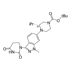 CC(C)[C@@H]1CN(C(=O)OC(C)(C)C)CCN1c1ccc2c(N3CCC(=O)NC3=O)nn(C)c2c1